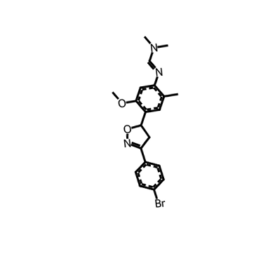 COc1cc(N=CN(C)C)c(C)cc1C1CC(c2ccc(Br)cc2)=NO1